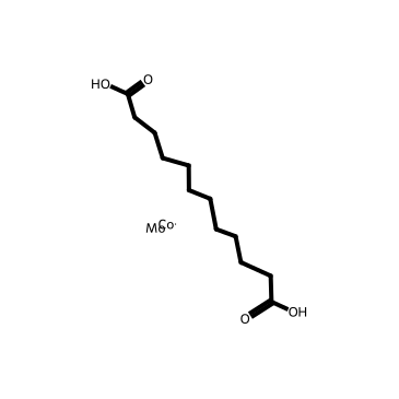 O=C(O)CCCCCCCCCCC(=O)O.[Co].[Mo]